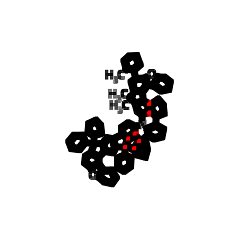 Cc1ccccc1-c1cc2c(c3c1oc1ccccc13)-c1ccc(N(c3ccc4c(c3)C(c3ccccc3)(c3ccccc3)c3cc5c(cc3-4)C(c3ccccc3)(c3ccccc3)c3ccc4oc6ccccc6c4c3-5)c3c(-c4ccccc4)cccc3-c3ccccc3)cc1C2(C)C